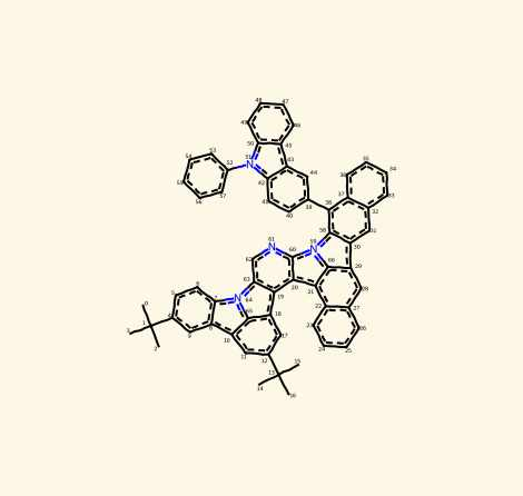 CC(C)(C)c1ccc2c(c1)c1cc(C(C)(C)C)cc3c4c5c6c7ccccc7cc7c8cc9ccccc9c(-c9ccc%10c(c9)c9ccccc9n%10-c9ccccc9)c8n(c5ncc4n2c13)c76